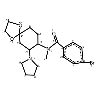 CN(C(=O)c1ccc(Br)cc1)C1CCC2(CC1N1CCCC1)OCCO2